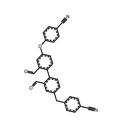 N#Cc1ccc(Cc2ccc(-c3ccc(Oc4ccc(C#N)cc4)cc3C=O)c(C=O)c2)cc1